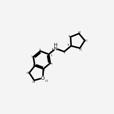 c1cc2c(cc1NCC1CCCC1)OCC2